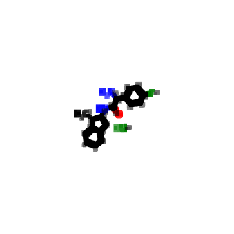 C[C@H]1c2ccccc2C[C@@H]1NC(=O)[C@@H](N)c1ccc(F)cc1.Cl